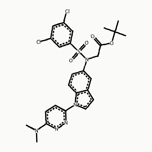 CN(C)c1ccc(-n2ccc3cc(N(CC(=O)OC(C)(C)C)S(=O)(=O)c4cc(Cl)cc(Cl)c4)ccc32)nn1